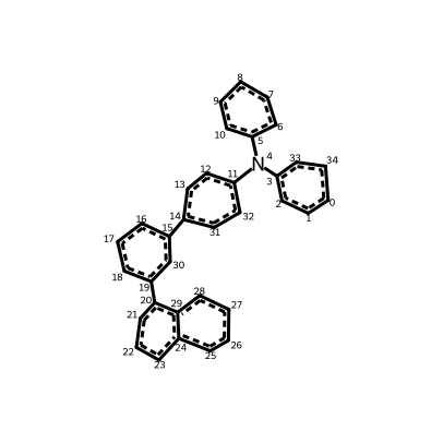 c1ccc(N(c2ccccc2)c2ccc(-c3cccc(-c4cccc5ccccc45)c3)cc2)cc1